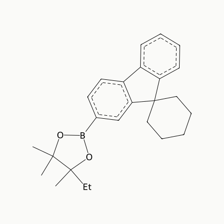 CCC1(C)OB(c2ccc3c(c2)C2(CCCCC2)c2ccccc2-3)OC1(C)C